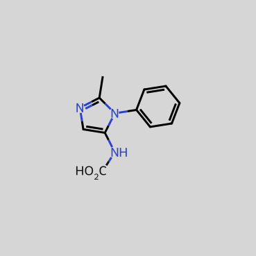 Cc1ncc(NC(=O)O)n1-c1ccccc1